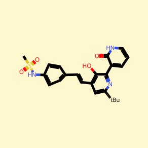 CC(C)(C)c1cc(C=Cc2ccc(NS(C)(=O)=O)cc2)c(O)c(-c2ccc[nH]c2=O)n1